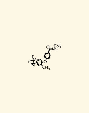 CNC(=O)c1ccc(Oc2ccc(C3(C(F)(F)F)CC3)cc2C)cc1